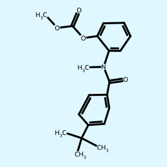 COC(=O)Oc1ccccc1N(C)C(=O)c1ccc(C(C)(C)C)cc1